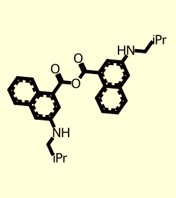 CC(C)CNc1cc(C(=O)OC(=O)c2cc(NCC(C)C)cc3ccccc23)c2ccccc2c1